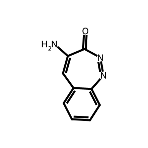 Nc1cc2ccccc2nnc1=O